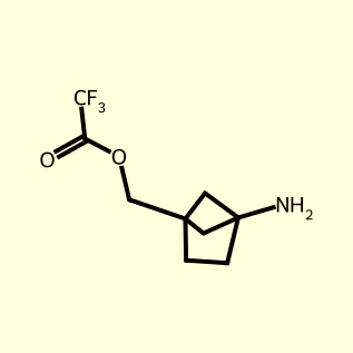 NC12CCC(COC(=O)C(F)(F)F)(C1)C2